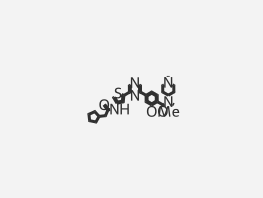 COc1cc(-c2cncc(-c3cc(NC(=O)CC4CCCC4)cs3)n2)ccc1C(=O)N(C)C1CCN(C)CC1